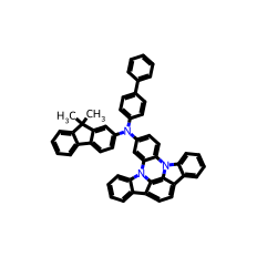 CC1(C)c2ccccc2-c2ccc(N(c3ccc(-c4ccccc4)cc3)c3ccc4c(c3)n3c5ccccc5c5ccc6c7ccccc7n4c6c53)cc21